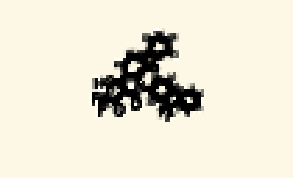 CC1(C)c2ccccc2-c2ccc(N3C(=O)C(C(=O)C(F)(F)F)=C(O)C4CC=c5c(sc6ccccc56)=C43)cc21